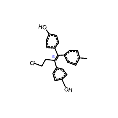 Cc1ccc(/C(=C(/CCCl)c2ccc(O)cc2)c2ccc(O)cc2)cc1